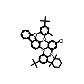 Cc1cc(C(C)(C)C)cc(C)c1N1c2cc(Cl)cc3c2B(c2cc(C(C)(C)C)cc4c2N3C2(C)CCCCC42C)c2ccc3c(oc4ccccc43)c21